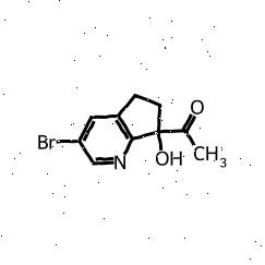 CC(=O)C1(O)CCc2cc(Br)cnc21